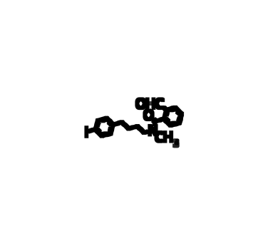 CN(CCCCc1ccc(I)cc1)C(=O)c1ccccc1C=O